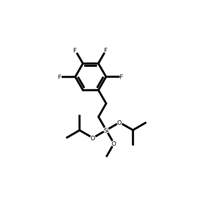 CO[Si](CCc1cc(F)c(F)c(F)c1F)(OC(C)C)OC(C)C